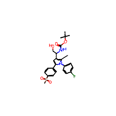 Cc1c(C(CO)NC(=O)OC(C)(C)C)cc(-c2ccc(S(C)(=O)=O)cc2)n1-c1ccc(F)cc1